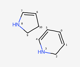 C1=CCNC=C1.C1=CNCC1